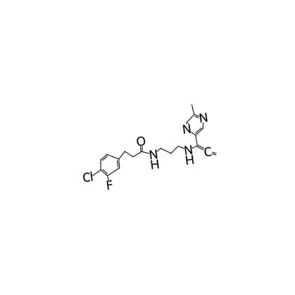 C=C=C(NCCCNC(=O)CCc1ccc(Cl)c(F)c1)c1cnc(C)cn1